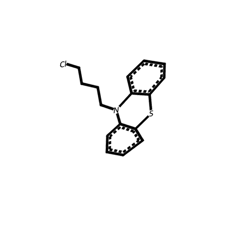 ClCCCCN1c2ccccc2Sc2ccccc21